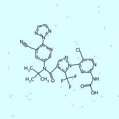 CC(C)(C)N(C(=O)c1cnn(-c2cc(NC(=O)O)ncc2Cl)c1C(F)(F)F)c1cnc(-n2nccn2)c(C#N)c1